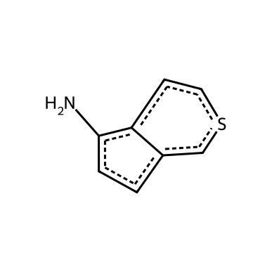 Nc1ccc2csccc1-2